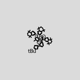 Cc1cc2c3c(c1)N(c1cccc4c1sc1ccc(C(C)(C)C)cc14)c1c(oc4cc5c(cc14)C(C)(C)CCC5(C)C)B3c1cc3c(cc1N2c1ccc2c(c1)C(C)(C)CCC2(C)C)C(C)(C)CCC3(C)C